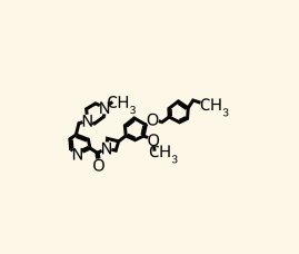 CCc1ccc(COc2ccc(C3CN(C(=O)c4cc(CN5CCN(C)CC5)ccn4)C3)cc2OC)cc1